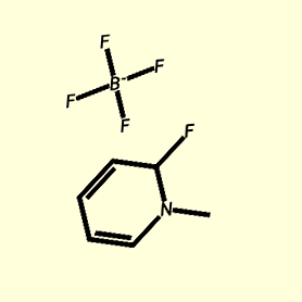 CN1C=CC=CC1F.F[B-](F)(F)F